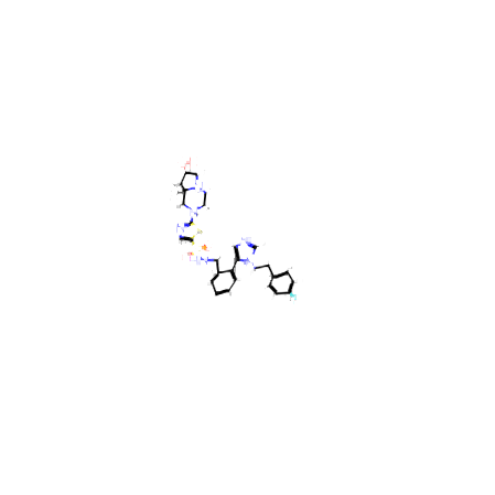 O=S(=O)(NCc1ccccc1-c1cncn1CCc1ccc(F)cc1)c1cnc(N2CCN3C[C@H](O)C[C@H]3C2)s1